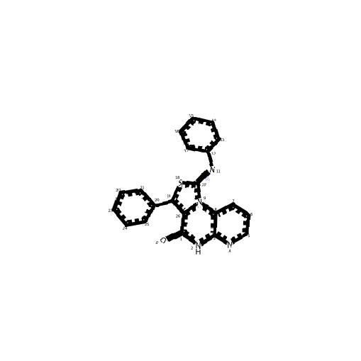 O=c1[nH]c2ncccc2n2/c(=N/c3ccccc3)sc(-c3ccccc3)c12